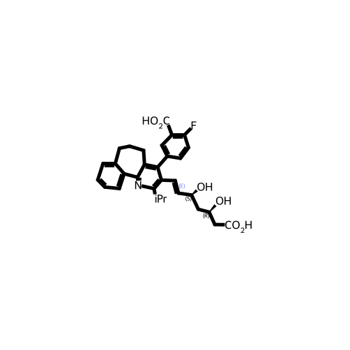 CC(C)c1nc2c(c(-c3ccc(F)c(C(=O)O)c3)c1/C=C/[C@@H](O)C[C@@H](O)CC(=O)O)CCCc1ccccc1-2